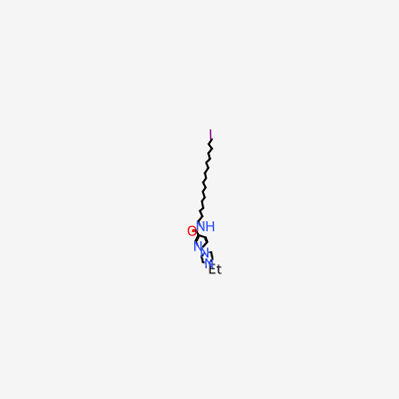 CCN1CCN(c2ccc(C(=O)NCCCCCCCCCCCCCCCCCCI)cn2)CC1